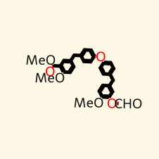 COC(=O)c1cc(Cc2ccc(Oc3ccc(Cc4ccc(OC)c(OC=O)c4)cc3)cc2)ccc1OC